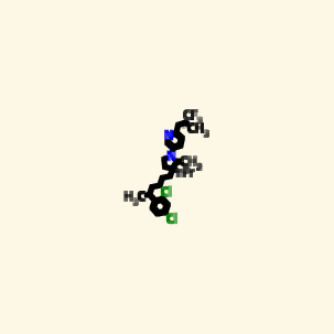 C=C1N(c2ccc(C[C@@H](C)C(F)(F)F)nc2)CCC1(CCC)CCCCC(C)c1ccc(Cl)cc1Cl